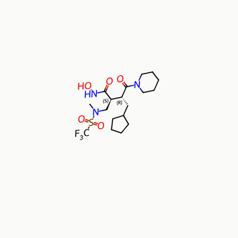 CN(C[C@@H](C(=O)NO)[C@@H](CC1CCCC1)C(=O)N1CCCCC1)S(=O)(=O)C(F)(F)F